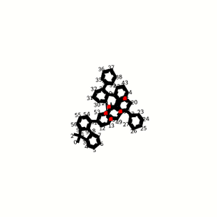 CC1(C)c2ccccc2-c2c(-c3cccc(N(c4cccc(-c5ccccc5)c4)c4cccc(-c5ccccc5)c4-c4ccccc4-c4ccccc4)c3)cccc21